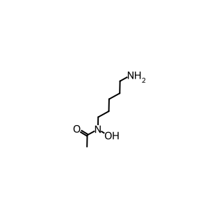 CC(=O)N(O)CCCCCN